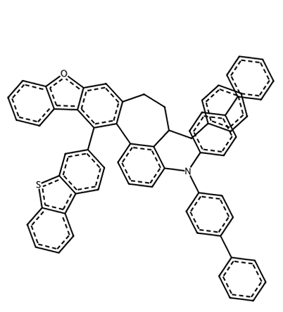 c1ccc(CC2CCc3cc4oc5ccccc5c4c(-c4ccc5c(c4)sc4ccccc45)c3-c3cccc(N(c4ccc(-c5ccccc5)cc4)c4ccc(-c5ccccc5)cc4)c32)cc1